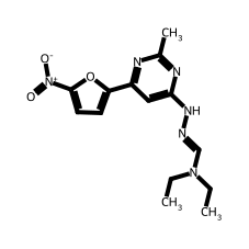 CCN(C=NNc1cc(-c2ccc([N+](=O)[O-])o2)nc(C)n1)CC